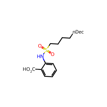 CCCCCCCCCCCCCCS(=O)(=O)Nc1ccccc1C(=O)O